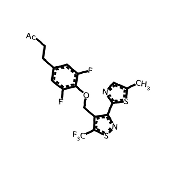 CC(=O)CCc1cc(F)c(OCc2c(-c3ncc(C)s3)nsc2C(F)(F)F)c(F)c1